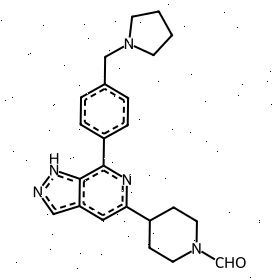 O=CN1CCC(c2cc3cn[nH]c3c(-c3ccc(CN4CCCC4)cc3)n2)CC1